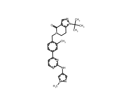 Cc1cc(-c2ccnc(Nc3cnn(C)c3)n2)ccc1CN1CCc2c(cnn2C(C)(C)C)C1=O